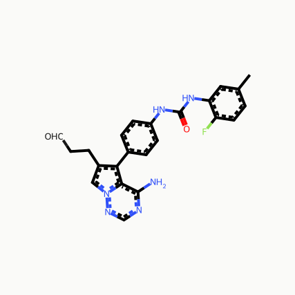 Cc1ccc(F)c(NC(=O)Nc2ccc(-c3c(CCC=O)cn4ncnc(N)c34)cc2)c1